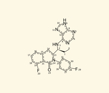 CC[C@H](Nc1ncnc2[nH]cnc12)c1cc2cccc(F)c2c(=O)n1-c1ccc(F)cc1